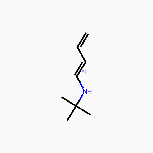 C=C/C=C/NC(C)(C)C